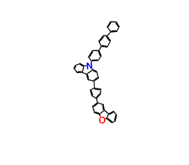 c1ccc(-c2ccc(-c3ccc(-n4c5ccccc5c5cc(-c6ccc(-c7ccc8oc9ccccc9c8c7)cc6)ccc54)cc3)cc2)cc1